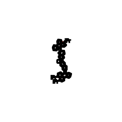 CC(C)c1ccc(-c2ccccc2N(c2ccc(C(C)C)cc2)c2ccc3cc4c(cc3c2)oc2cc3cc(N(c5ccc(C(C)C)cc5)c5ccccc5-c5ccccc5)ccc3cc24)cc1